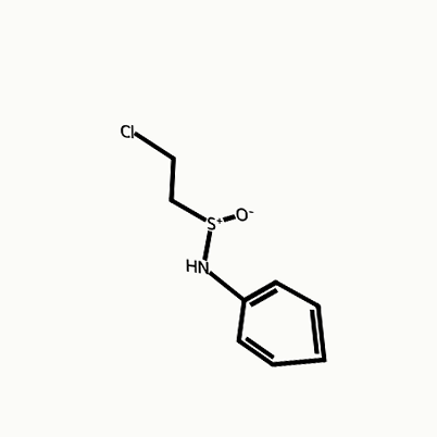 [O-][S+](CCCl)Nc1ccccc1